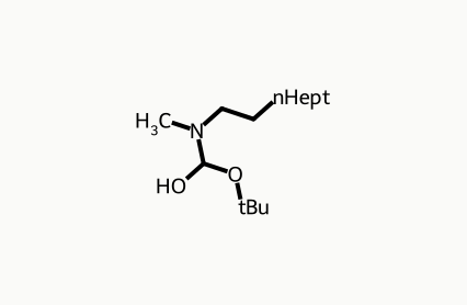 CCCCCCCCCN(C)C(O)OC(C)(C)C